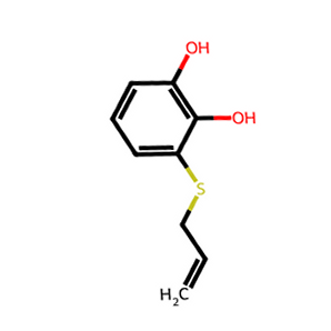 C=CCSc1cccc(O)c1O